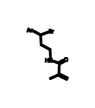 C=C(C)C(=O)NCCC(Br)C(C)=O